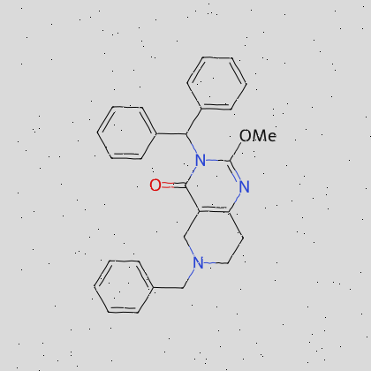 COc1nc2c(c(=O)n1C(c1ccccc1)c1ccccc1)CN(Cc1ccccc1)CC2